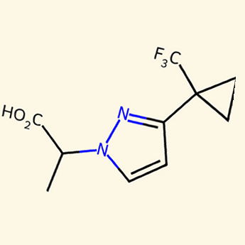 CC(C(=O)O)n1ccc(C2(C(F)(F)F)CC2)n1